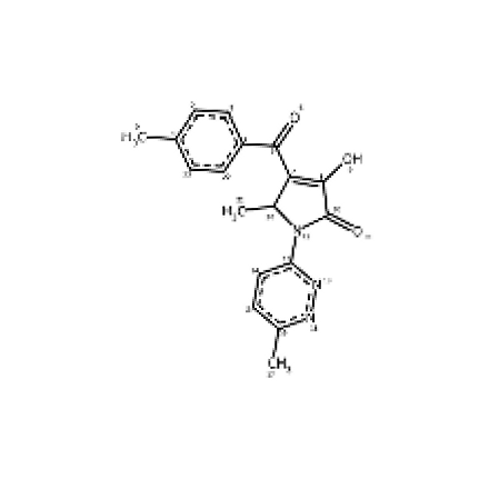 Cc1ccc(C(=O)C2=C(O)C(=O)N(c3ccc(C)nn3)C2C)cc1